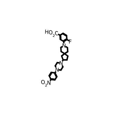 O=C(O)c1ccc(F)c(N2CCC3(CCC(N4CCN(c5ccc([N+](=O)[O-])cc5)CC4)C3)CC2)c1